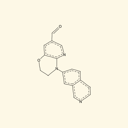 O=Cc1cnc2c(c1)OCCN2c1ccc2ccncc2c1